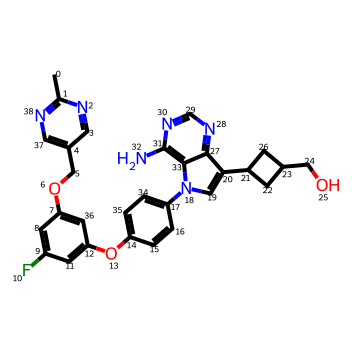 Cc1ncc(COc2cc(F)cc(Oc3ccc(-n4cc(C5CC(CO)C5)c5ncnc(N)c54)cc3)c2)cn1